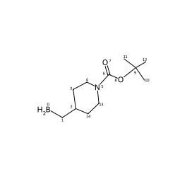 BCC1CCN(C(=O)OC(C)(C)C)CC1